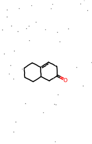 O=C1CC=C2CCCCC2C1